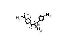 Cc1ccc(-c2nc(C)c(C(=O)N3CCN(C(C)C)CC3)s2)cc1